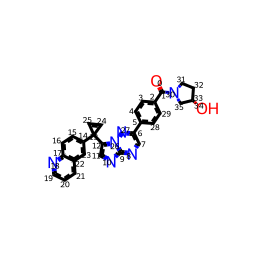 O=C(c1ccc(-c2cnc3ncc(C4(c5ccc6ncccc6c5)C=C4)n3n2)cc1)N1CCC(O)C1